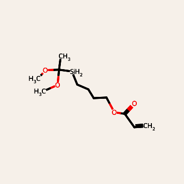 C=CC(=O)OCCCC[SiH2]C(C)(OC)OC